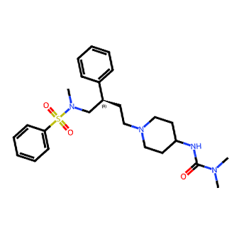 CN(C)C(=O)NC1CCN(CC[C@@H](CN(C)S(=O)(=O)c2ccccc2)c2ccccc2)CC1